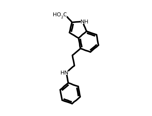 O=C(O)c1cc2c(CCNc3ccccc3)cccc2[nH]1